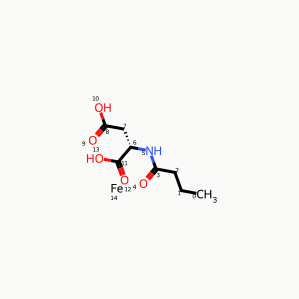 CCCC(=O)N[C@@H](CC(=O)O)C(=O)O.[Fe]